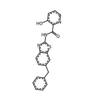 O=C(Nc1nc2ccc(Cc3ccccc3)cc2s1)c1ncccc1O